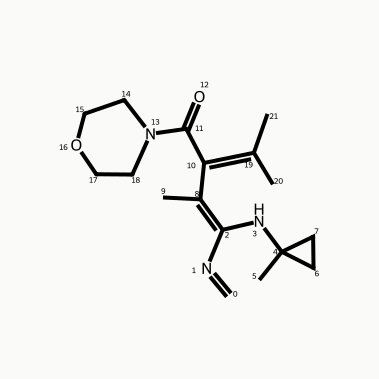 C=N/C(NC1(C)CC1)=C(\C)C(C(=O)N1CCOCC1)=C(C)C